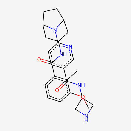 COc1cccc(C(=O)NC2CC3CCC(C2)N3c2ccc(C(=O)NC3CNC3)cn2)c1C